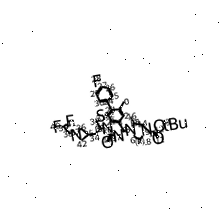 Cc1cc2c(N3C[C@@H](C)N(C(=O)OC(C)(C)C)C[C@@H]3C)nc(=O)n3c2c(c1-c1ccc(F)cc1)SC[C@@H]3CC1CN(CC(F)F)C1